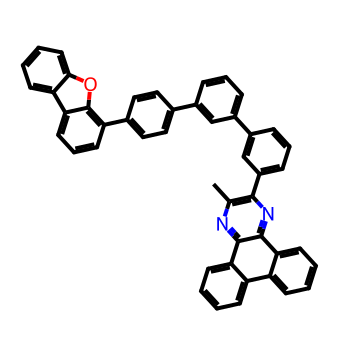 Cc1nc2c3ccccc3c3ccccc3c2nc1-c1cccc(-c2cccc(-c3ccc(-c4cccc5c4oc4ccccc45)cc3)c2)c1